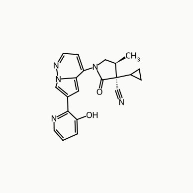 C[C@@H]1CN(c2ccnn3cc(-c4ncccc4O)cc23)C(=O)[C@]1(C#N)C1CC1